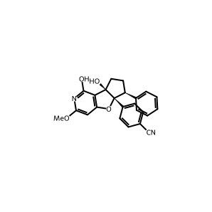 COc1cc2c(c(O)n1)[C@]1(O)CC[C@@H](c3ccccc3)[C@]1(c1ccc(C#N)cc1)O2